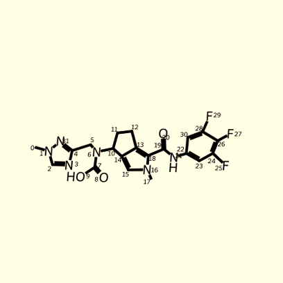 Cn1cnc(CN(C(=O)O)C2CCc3c2cn(C)c3C(=O)Nc2cc(F)c(F)c(F)c2)n1